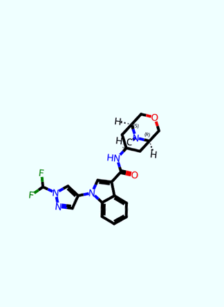 CN1[C@@H]2COC[C@H]1CC(NC(=O)c1cn(-c3cnn(C(F)F)c3)c3ccccc13)C2